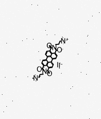 C[N+](C)(C)CCCN1C(=O)c2ccc3c4ccc5c6c(ccc(c7ccc(c2c37)C1=O)c64)C(=O)N(CCC[N+](C)(C)C)C5=O.[I-].[I-]